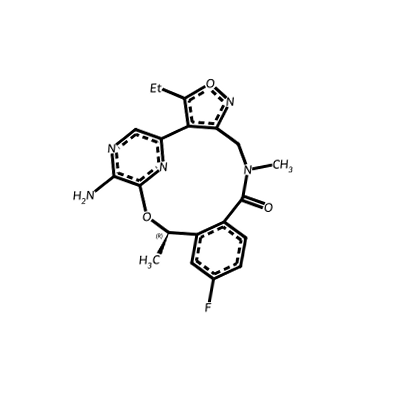 CCc1onc2c1-c1cnc(N)c(n1)O[C@H](C)c1cc(F)ccc1C(=O)N(C)C2